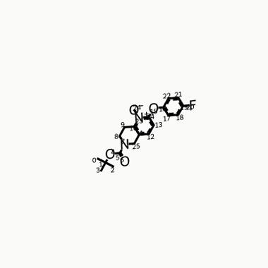 CC(C)(C)OC(=O)N1CCc2c(ccc(Oc3ccc(F)cc3)[n+]2[O-])C1